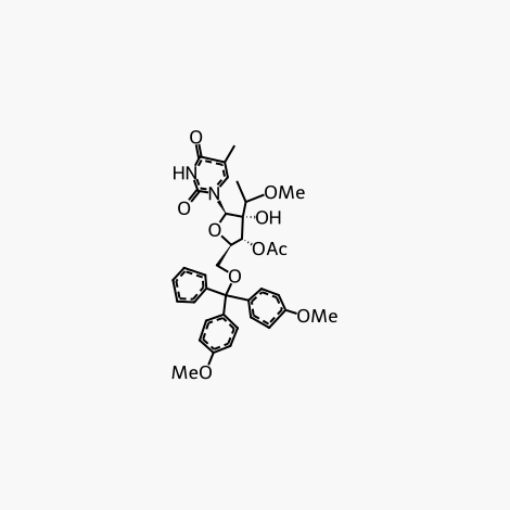 COc1ccc(C(OC[C@H]2O[C@@H](n3cc(C)c(=O)[nH]c3=O)[C@@](O)(C(C)OC)[C@@H]2OC(C)=O)(c2ccccc2)c2ccc(OC)cc2)cc1